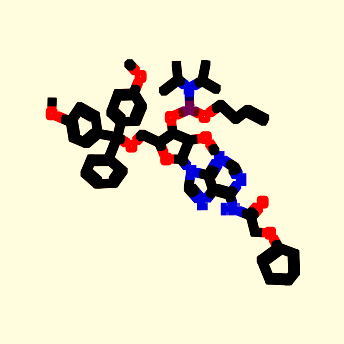 C=CCCOP(OC1C(COC(c2ccccc2)(c2ccc(OC)cc2)c2ccc(OC)cc2)OC(n2cnc3c(NC(=O)COc4ccccc4)ncnc32)C1OC)N(C(C)C)C(C)C